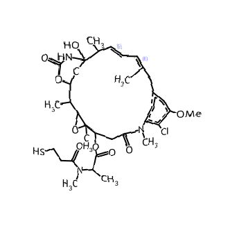 COc1cc2cc(c1Cl)N(C)C(=O)CC(OC(=O)C(C)N(C)C(=O)CCS)C1(C)OC1C(C)C1CC(O)(NC(=O)O1)C(C)/C=C/C=C(\C)C2